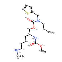 COCCN(Cc1cccs1)C(=O)OC[C@H](CCCCNC(=O)O)NC(=O)OC(C)(C)C